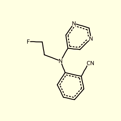 N#Cc1ccccc1N(CCF)c1cncnc1